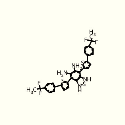 CC(F)(F)c1ccc(-c2ccc(-c3c(N)c(N)c(-c4ccc(-c5ccc(C(C)(F)F)cc5)s4)c4c3NSN4)s2)cc1